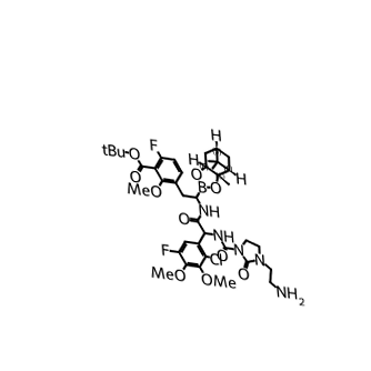 COc1c(F)cc(C(NC(=O)N2CCN(CCN)C2=O)C(=O)NC(Cc2ccc(F)c(C(=O)OC(C)(C)C)c2OC)B2O[C@@H]3C[C@@H]4C[C@@H](C4(C)C)[C@]3(C)O2)c(Cl)c1OC